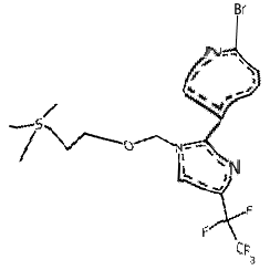 CS(C)(C)CCOCn1cc(C(F)(F)C(F)(F)F)nc1-c1ccc(Br)nc1